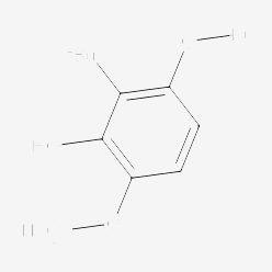 CCOc1ccc(OC(=O)O)c(O)c1C(C)(C)C